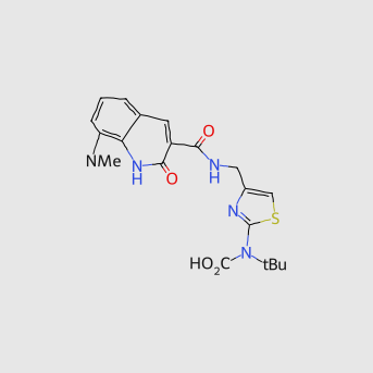 CNc1cccc2cc(C(=O)NCc3csc(N(C(=O)O)C(C)(C)C)n3)c(=O)[nH]c12